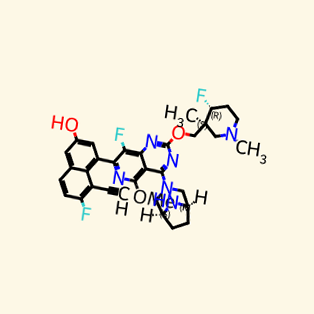 C#Cc1c(F)ccc2cc(O)cc(-c3nc(OC)c4c(N5C[C@H]6CC[C@@H](C5)N6)nc(OC[C@]5(C)CN(C)CC[C@H]5F)nc4c3F)c12